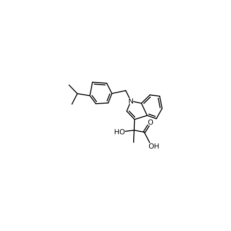 CC(C)c1ccc(Cn2cc(C(C)(O)C(=O)O)c3ccccc32)cc1